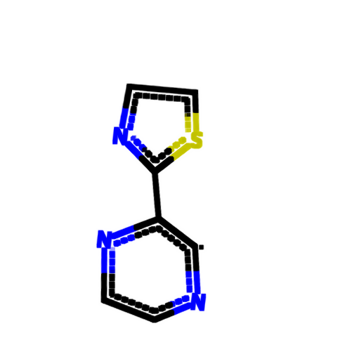 [c]1nccnc1-c1nccs1